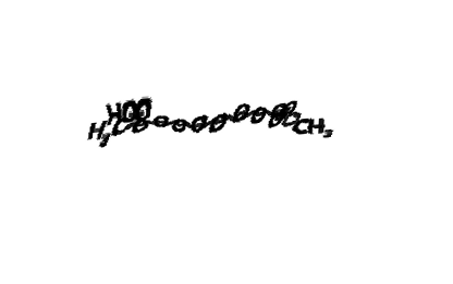 CC=C(OCCOCCOCCOCCOCCOCCOCCOS(=O)(=O)c1ccc(C)cc1)C(=O)O